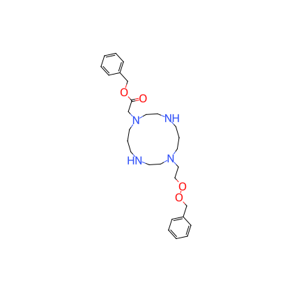 O=C(CN1CCCNCCN(CCOOCc2ccccc2)CCCNCC1)OCc1ccccc1